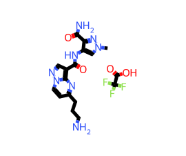 Cn1cc(NC(=O)c2cnn3ccc(CCCN)nc23)c(C(N)=O)n1.O=C(O)C(F)(F)F